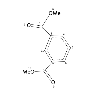 COC(=O)c1c[c]cc(C(=O)OC)c1